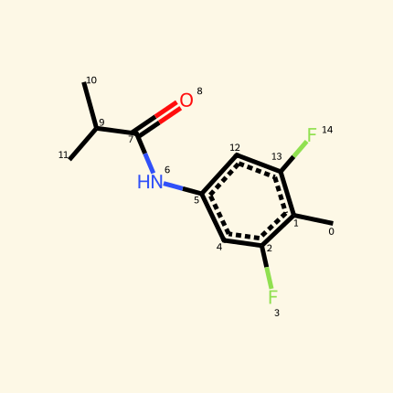 Cc1c(F)cc(NC(=O)C(C)C)cc1F